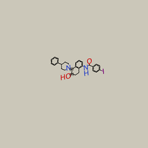 O=C(Nc1cccc2c1CC[C@@H](O)[C@@H]2N1CCC(c2ccccc2)CC1)c1ccc(I)cc1